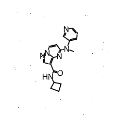 CN(c1cccnc1)c1ccn2ncc(C(=O)NC3CCC3)c2n1